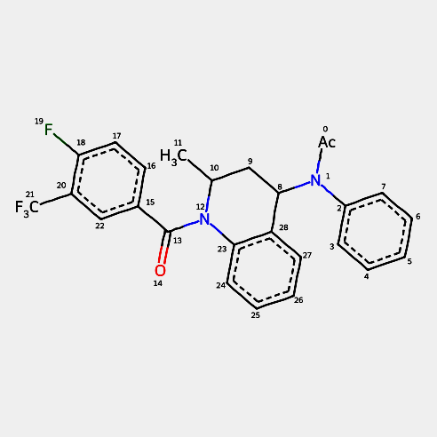 CC(=O)N(c1ccccc1)C1CC(C)N(C(=O)c2ccc(F)c(C(F)(F)F)c2)c2ccccc21